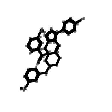 Cc1cccc(SN2CCC3=Cc4c(cnn4-c4ccc(F)cc4)CC3(C(=O)c3cc(C)ccn3)C2)c1